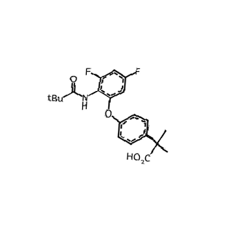 CC(C)(C)C(=O)Nc1c(F)cc(F)cc1Oc1ccc(C(C)(C)C(=O)O)cc1